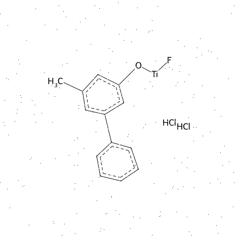 Cc1cc([O][Ti][F])cc(-c2ccccc2)c1.Cl.Cl